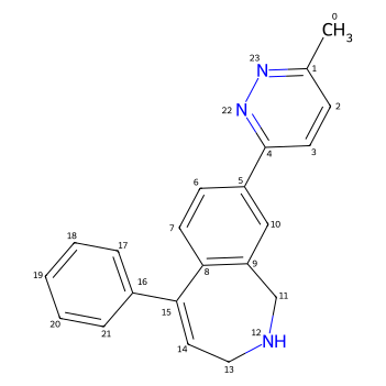 Cc1ccc(-c2ccc3c(c2)CNCC=C3c2ccccc2)nn1